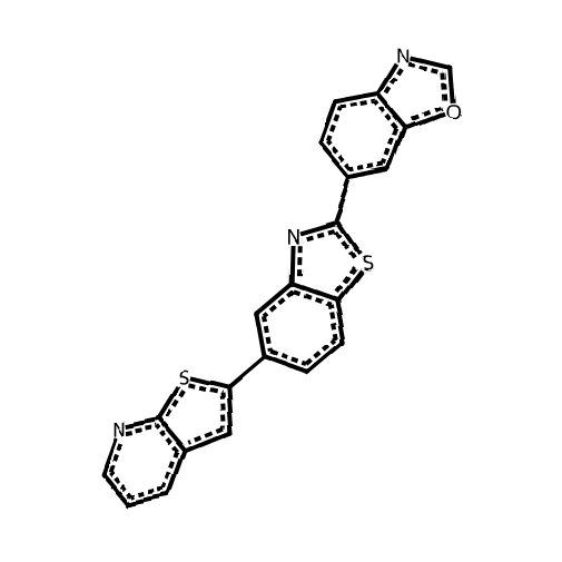 c1cnc2sc(-c3ccc4sc(-c5ccc6ncoc6c5)nc4c3)cc2c1